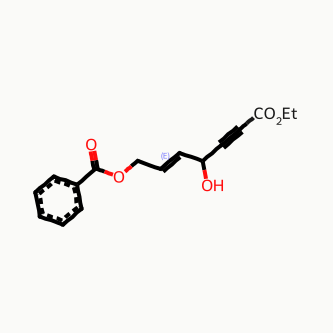 CCOC(=O)C#CC(O)/C=C/COC(=O)c1ccccc1